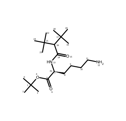 CC(C)(C)OC(=O)[C@H](CCCCN)NC(=O)C(C(C)(C)C)C(C)(C)C